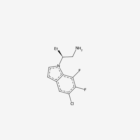 CC[C@@H](CN)n1ccc2cc(Cl)c(F)c(F)c21